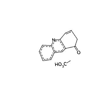 CC(=O)O.O=C1CC=Cc2nc3ccccc3cc21